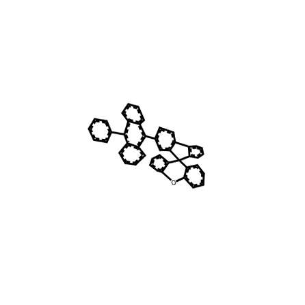 c1ccc(-c2c3ccccc3c(-c3ccc4c(c3)C3(c5ccccc5Oc5ccccc53)c3ccccc3-4)c3ccccc23)cc1